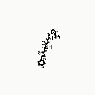 CC(C)N1CCC[C@H]1C(=O)NCCC(=O)NCCC(=O)OCc1ccccc1